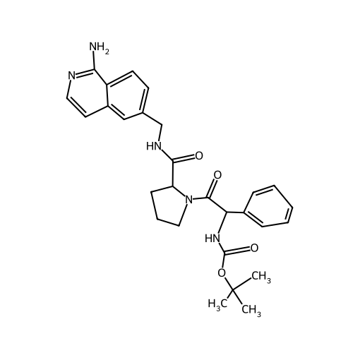 CC(C)(C)OC(=O)NC(C(=O)N1CCCC1C(=O)NCc1ccc2c(N)nccc2c1)c1ccccc1